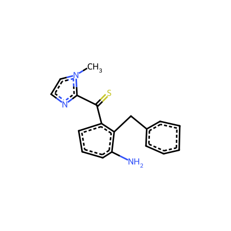 Cn1ccnc1C(=S)c1cccc(N)c1Cc1ccccc1